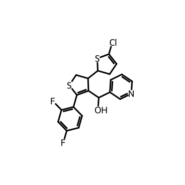 OC(C1=C(c2ccc(F)cc2F)SCC1C1CC=C(Cl)S1)c1cccnc1